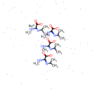 CNC(=NC(C)C)C(=O)[O-].CNC(=NC(C)C)C(=O)[O-].CNC(=NC(C)C)C(=O)[O-].CNC(=NC(C)C)C(=O)[O-].[Ru+4]